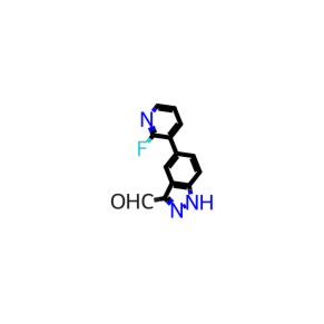 O=Cc1n[nH]c2ccc(-c3cccnc3F)cc12